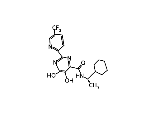 C[C@@H](NC(=O)c1nc(-c2ccc(C(F)(F)F)cn2)nc(O)c1O)C1CCCCC1